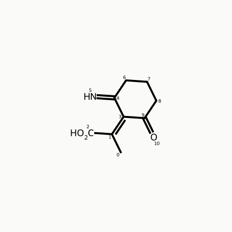 CC(C(=O)O)=C1C(=N)CCCC1=O